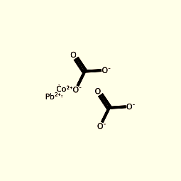 O=C([O-])[O-].O=C([O-])[O-].[Co+2].[Pb+2]